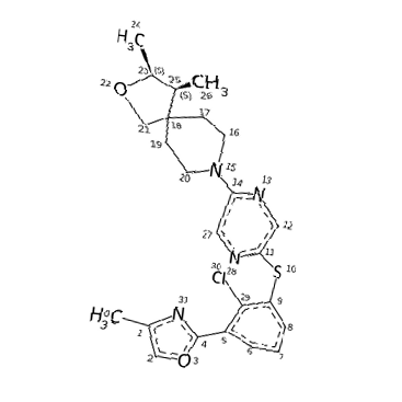 Cc1coc(-c2cccc(Sc3cnc(N4CCC5(CC4)CO[C@@H](C)[C@H]5C)cn3)c2Cl)n1